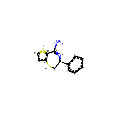 NC1=N[C@@H](c2ccccc2)CSc2ccsc21